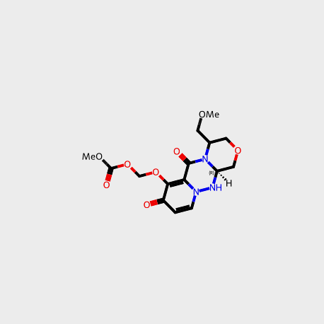 COCC1COC[C@H]2Nn3ccc(=O)c(OCOC(=O)OC)c3C(=O)N12